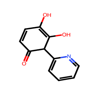 O=C1C=CC(O)=C(O)C1c1ccccn1